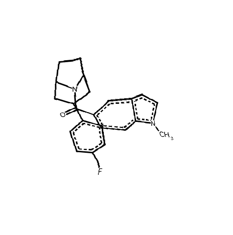 Cn1ccc2cc(C(=O)N3C4CCC3CC(c3ccc(F)cc3)C4)ccc21